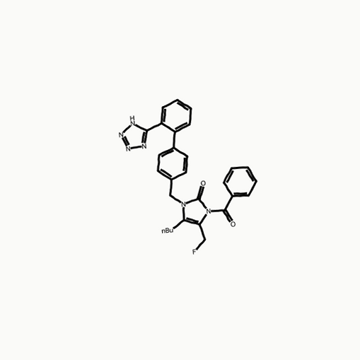 CCCCc1c(CF)n(C(=O)c2ccccc2)c(=O)n1Cc1ccc(-c2ccccc2-c2nnn[nH]2)cc1